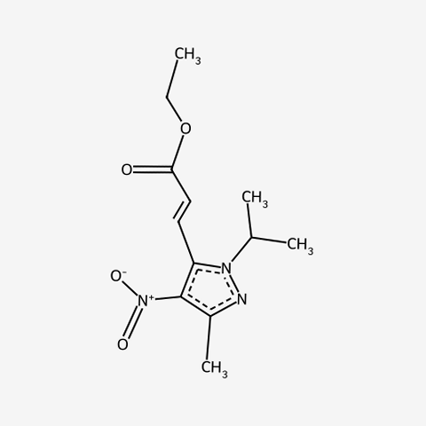 CCOC(=O)C=Cc1c([N+](=O)[O-])c(C)nn1C(C)C